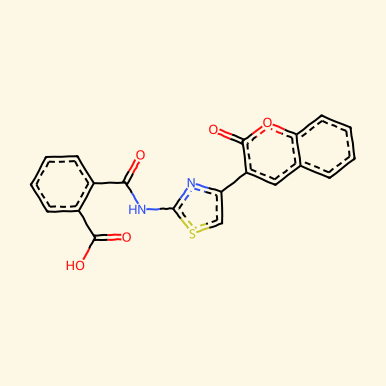 O=C(O)c1ccccc1C(=O)Nc1nc(-c2cc3ccccc3oc2=O)cs1